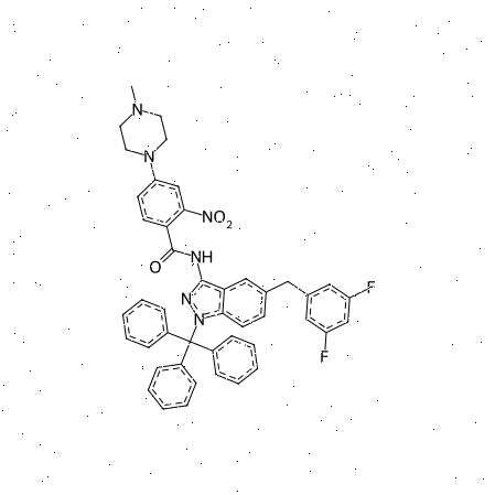 CN1CCN(c2ccc(C(=O)Nc3nn(C(c4ccccc4)(c4ccccc4)c4ccccc4)c4ccc(Cc5cc(F)cc(F)c5)cc34)c([N+](=O)[O-])c2)CC1